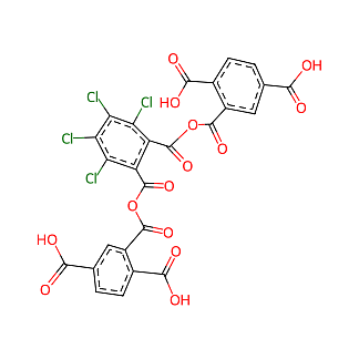 O=C(O)c1ccc(C(=O)O)c(C(=O)OC(=O)c2c(Cl)c(Cl)c(Cl)c(Cl)c2C(=O)OC(=O)c2cc(C(=O)O)ccc2C(=O)O)c1